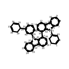 C1=CCCC(n2c3ccccc3c3cccc(-c4cccc5c6ccccc6n(-c6cccc(C7C=CC=CC7)c6)c45)c32)=C1